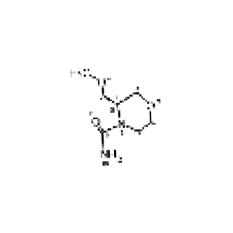 COC[C@H]1COCCN1C(N)=O